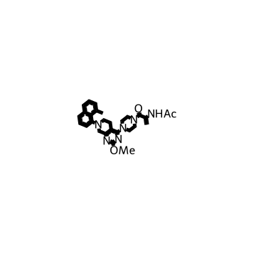 C=C(NC(C)=O)C(=O)N1CCN(c2nc(OC)nc3c2CCN(c2cccc4cccc(C)c24)C3)CC1